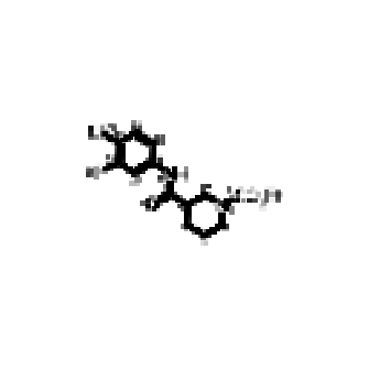 CCOC(=O)N1CCCC(C(=O)Nc2ccc(Cl)c(F)c2)C1